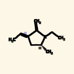 C=C1/C(=C/C)C[C@@H](C)N1CC